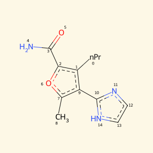 CCCc1c(C(N)=O)oc(C)c1-c1ncc[nH]1